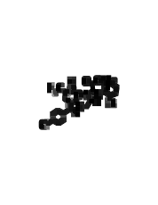 CCc1cccnc1-n1nc(Cn2nc(-c3ccc(Cl)cc3)n(C[C@H](O)C(F)(F)F)c2=O)nc1C(=O)OC